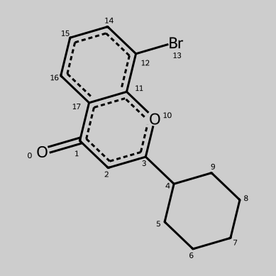 O=c1cc(C2CCCCC2)oc2c(Br)cccc12